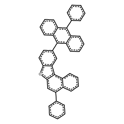 c1ccc(-c2c3ccccc3c(-c3ccc4oc5cc(-c6ccccc6)c6ccccc6c5c4c3)c3ccccc23)cc1